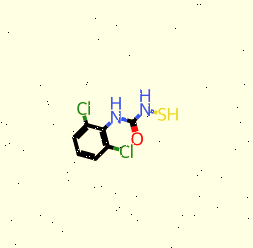 O=C(NS)Nc1c(Cl)cccc1Cl